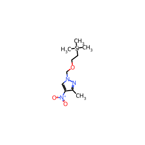 Cc1nn(COCC[Si](C)(C)C)cc1[N+](=O)[O-]